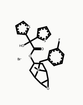 C[N+]1(Cc2cccc(F)c2)C2CC(OC(=O)C(O)(c3cccs3)c3cccs3)CC1C1OC12.[Br-]